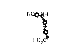 N#Cc1ccc(C(=N)COc2ccc(COc3ccc([C@H]4C[C@@H]4C(=O)O)cc3)cc2)cc1